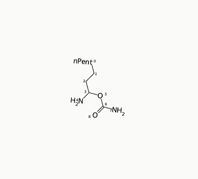 CCCCCCCC(N)OC(N)=O